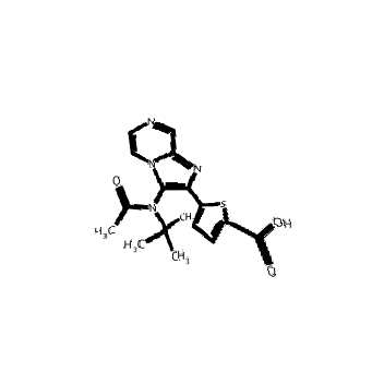 CC(=O)N(c1c(-c2ccc(C(=O)O)s2)nc2cnccn12)C(C)(C)C